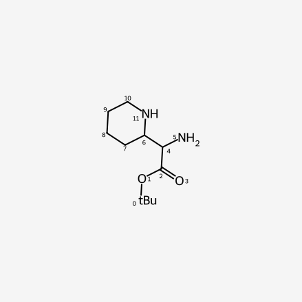 CC(C)(C)OC(=O)C(N)C1CCCCN1